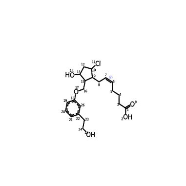 O=C(O)CCC/C=C\CC1C(Cl)CC(O)C1COc1cccc(CCO)c1